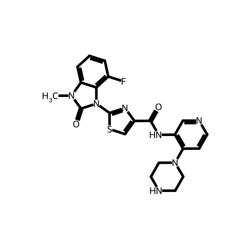 Cn1c(=O)n(-c2nc(C(=O)Nc3cnccc3N3CCNCC3)cs2)c2c(F)cccc21